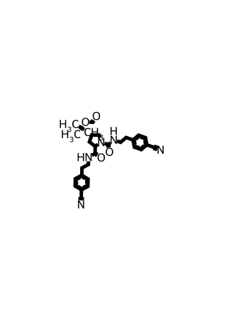 CC(C)(C)OC=O.N#Cc1ccc(CCNC(=O)C2CCCN2C(=O)NCCc2ccc(C#N)cc2)cc1